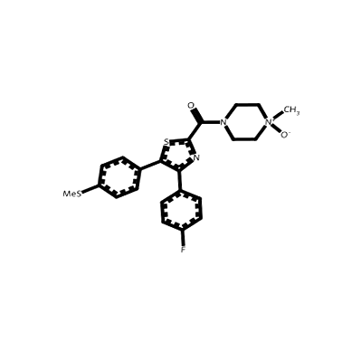 CSc1ccc(-c2sc(C(=O)N3CC[N+](C)([O-])CC3)nc2-c2ccc(F)cc2)cc1